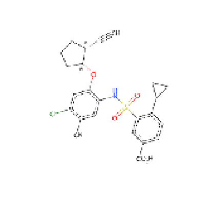 C#C[C@H]1CCC[C@H]1Oc1cc(Cl)c(C#N)cc1NS(=O)(=O)c1cc(C(=O)O)ccc1C1CC1